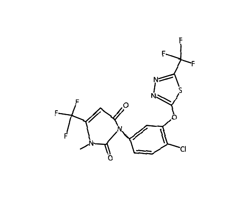 Cn1c(C(F)(F)F)cc(=O)n(-c2ccc(Cl)c(Oc3nnc(C(F)(F)F)s3)c2)c1=O